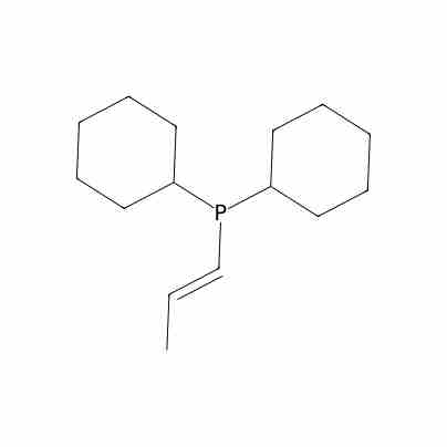 CC=CP(C1CCCCC1)C1CCCCC1